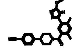 CCOc1nnc(-c2cc(C(=O)N3CCC(c4ccc(C#N)cc4)CC3)c(C)cc2C)[nH]1